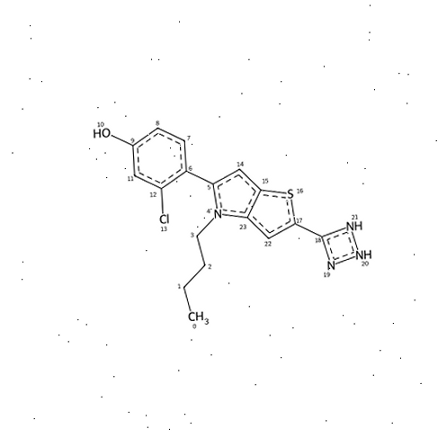 CCCCn1c(-c2ccc(O)cc2Cl)cc2sc(-c3n[nH][nH]3)cc21